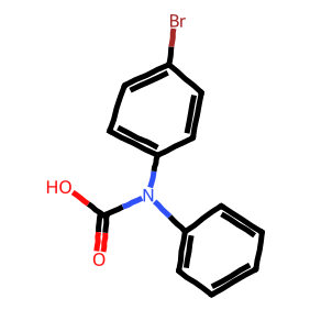 O=C(O)N(c1ccccc1)c1ccc(Br)cc1